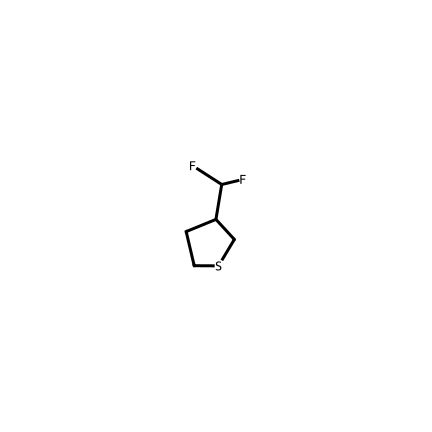 FC(F)C1CCSC1